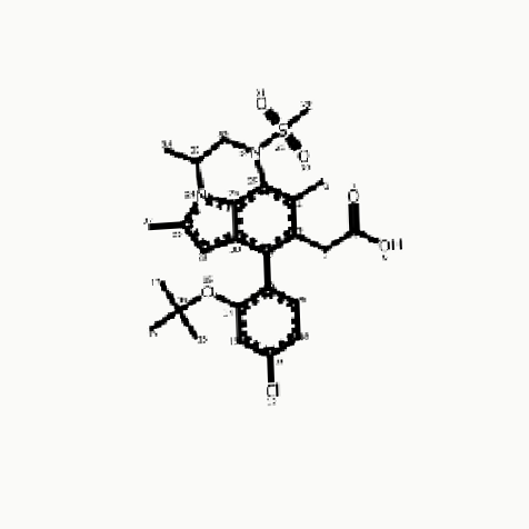 Cc1c(CC(=O)O)c(-c2ccc(Cl)cc2OC(C)(C)C)c2cc(C)n3c2c1N(S(C)(=O)=O)CC3C